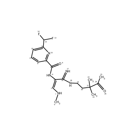 CN/C=C(/NC(=O)c1cccc(C(F)F)n1)C(=N)NCCC(C)(C)C(C)=O